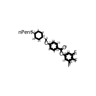 CCCCC[C@H]1CC[C@H](COc2ccc(C(=O)Oc3cc(F)c(F)c(F)c3)cc2)CC1